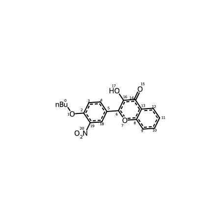 CCCCOc1ccc(-c2oc3ccccc3c(=O)c2O)cc1[N+](=O)[O-]